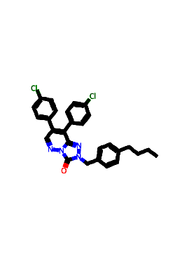 CCCCc1ccc(Cn2nc3c(-c4ccc(Cl)cc4)c(-c4ccc(Cl)cc4)cnn3c2=O)cc1